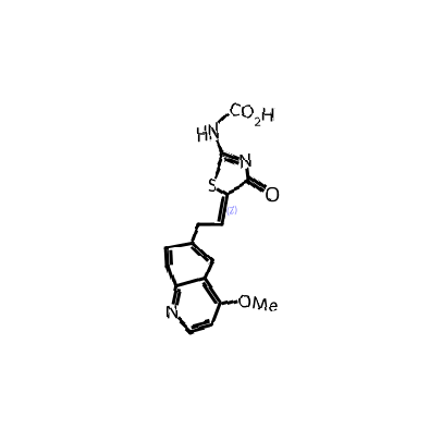 COc1ccnc2ccc(C/C=C3\SC(NC(=O)O)=NC3=O)cc12